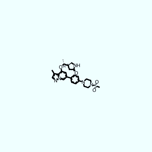 Cc1cnn2cc(-c3ccc(N4CCN(S(C)(=O)=O)CC4)cc3)cc(O[C@H](C)[C@H]3CNC(=O)C3)c12